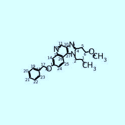 CCCn1c(CCOC)nc2cnc3cc(OCc4ccccc4)ccc3c21